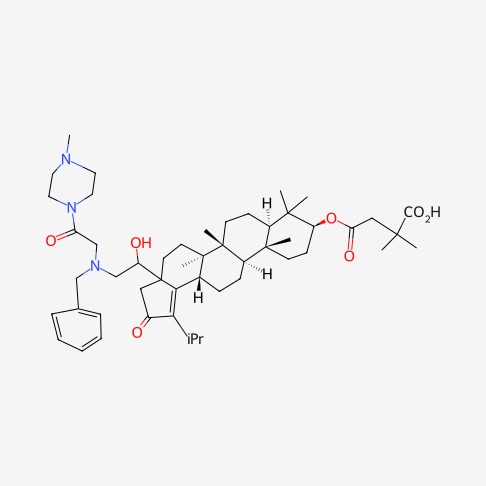 CC(C)C1=C2[C@H]3CC[C@@H]4[C@@]5(C)CC[C@H](OC(=O)CC(C)(C)C(=O)O)C(C)(C)[C@@H]5CC[C@@]4(C)[C@]3(C)CCC2(C(O)CN(CC(=O)N2CCN(C)CC2)Cc2ccccc2)CC1=O